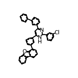 Clc1cccc(C2N=C(c3cccc(-c4ccccc4)c3)C=C(c3cccc(-c4cccc5c4oc4ccccc45)c3)N2)c1